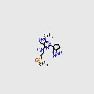 Cn1ncc2c(NCCC[S+](C)[O-])nc(-c3cccc4[nH]ncc34)nc21